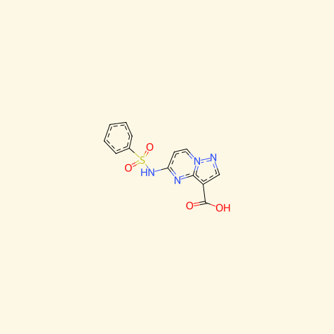 O=C(O)c1cnn2ccc(NS(=O)(=O)c3ccccc3)nc12